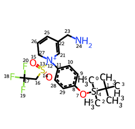 CC(C)(C)[Si](C)(C)Oc1ccc([N+]2(S(=O)(=O)CC(F)(F)F)C=C(CN)C=CC2)cc1